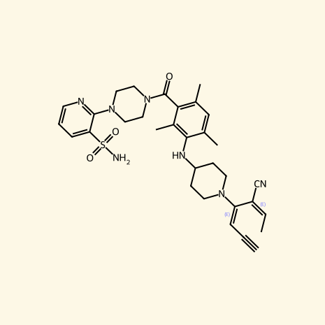 C#C/C=C(\C(C#N)=C/C)N1CCC(Nc2c(C)cc(C)c(C(=O)N3CCN(c4ncccc4S(N)(=O)=O)CC3)c2C)CC1